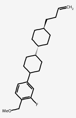 C=CCC[C@H]1CC[C@H](C2CCC(c3ccc(COC)c(F)c3)CC2)CC1